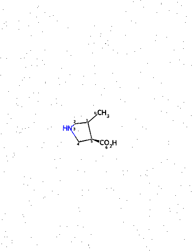 CC1CNC[C@@H]1C(=O)O